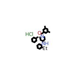 CCc1ccccc1N[C@H]1CCN(C(=O)c2cc(C)cc(C)c2)[C@@H](Cc2ccccc2)C1.Cl